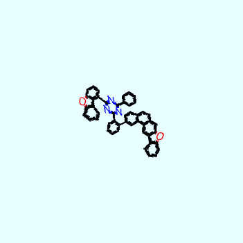 c1ccc(-c2nc(-c3ccccc3-c3ccc4ccc5cc6oc7ccccc7c6cc5c4c3)nc(-c3cccc4oc5ccccc5c34)n2)cc1